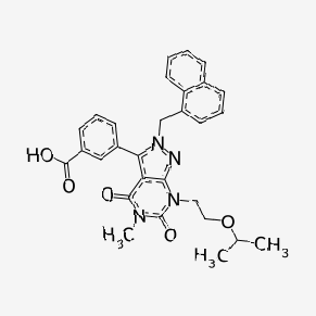 CC(C)OCCn1c(=O)n(C)c(=O)c2c(-c3cccc(C(=O)O)c3)n(Cc3cccc4ccccc34)nc21